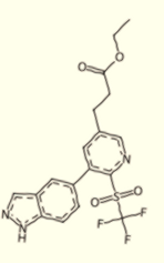 CCOC(=O)CCc1cnc(S(=O)(=O)C(F)(F)F)c(-c2ccc3[nH]ncc3c2)c1